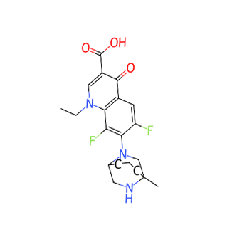 CCn1cc(C(=O)O)c(=O)c2cc(F)c(N3CC4(C)CCCC3CN4)c(F)c21